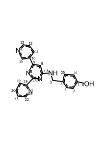 Oc1ccc(CNc2cc(-c3cccnc3)nc(-c3ccccn3)n2)cc1